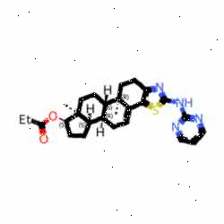 CCC(=O)O[C@H]1CC[C@H]2[C@@H]3CC=C4c5sc(Nc6ncccn6)nc5CC[C@]4(C)[C@H]3CC[C@]12C